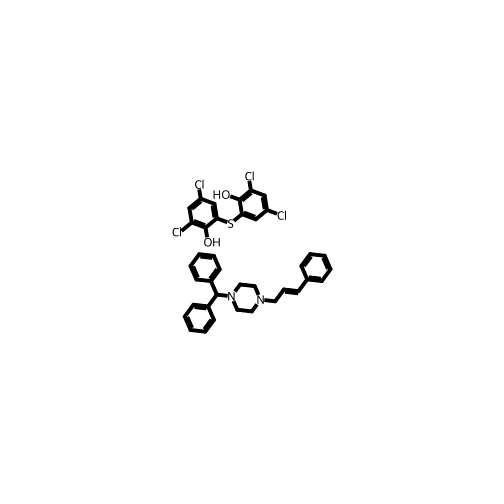 C(=C\c1ccccc1)/CN1CCN(C(c2ccccc2)c2ccccc2)CC1.Oc1c(Cl)cc(Cl)cc1Sc1cc(Cl)cc(Cl)c1O